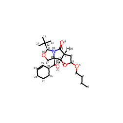 CCCCOC1C[C@H]2C(=O)N3[C@H](C(C)(C)C)OC[C@@]3(C(=O)[C@@H]3C=CCCC3)[C@@]2(C)O1